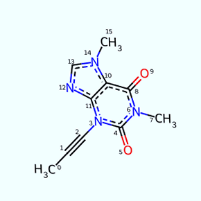 CC#Cn1c(=O)n(C)c(=O)c2c1ncn2C